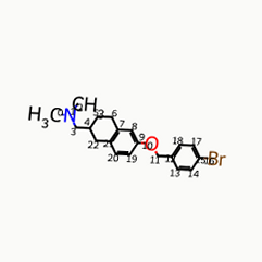 CN(C)CC1CCc2cc(OCc3ccc(Br)cc3)ccc2C1